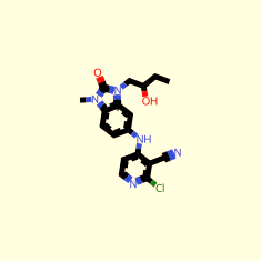 CCC(O)Cn1c(=O)n(C)c2ccc(Nc3ccnc(Cl)c3C#N)cc21